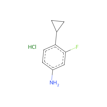 Cl.Nc1ccc(C2CC2)c(F)c1